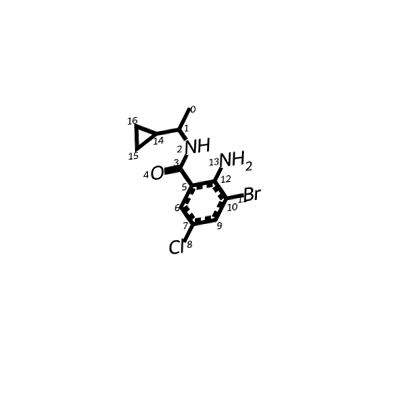 CC(NC(=O)c1cc(Cl)cc(Br)c1N)C1CC1